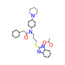 CC(=O)On1c(SCCCN(C(=O)Cc2ccccc2)c2ccc(N3CCCCC3)cc2)nc2ccccc21